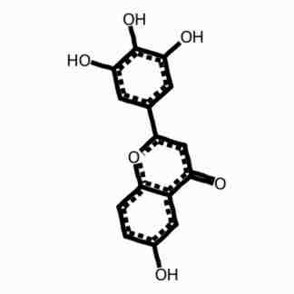 O=c1cc(-c2cc(O)c(O)c(O)c2)oc2ccc(O)cc12